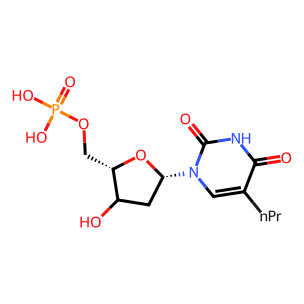 CCCc1cn([C@@H]2CC(O)[C@H](COP(=O)(O)O)O2)c(=O)[nH]c1=O